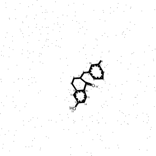 Cc1cccc(CC2CCc3cc(O)ccc3C2=O)c1